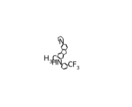 Cc1cc2c(cc1Nc1cccc(C(F)(F)F)c1)Cc1ccc(N3CCCC3)cc1-2